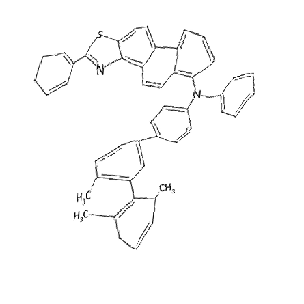 CC1=C(c2cc(-c3ccc(N(c4ccccc4)c4cccc5c4ccc4c5ccc5sc(C6=CCCC=C6)nc54)cc3)ccc2C)C(C)C=CC1